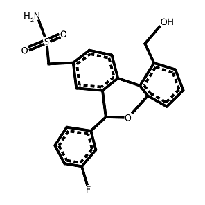 NS(=O)(=O)Cc1ccc2c(c1)C(c1cccc(F)c1)Oc1cccc(CO)c1-2